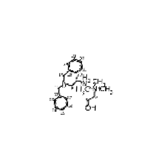 C[N+](C)(C)CCO.NCCN(Cc1ccccc1)Cc1ccccc1